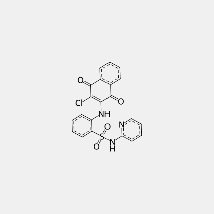 O=C1C(Cl)=C(Nc2ccccc2S(=O)(=O)Nc2ccccn2)C(=O)c2ccccc21